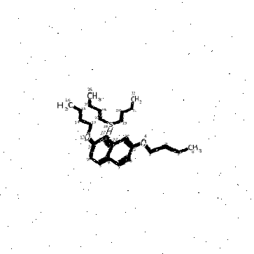 CCCCOc1ccc2ccc(OCCCC)c([SH](CCCC)CCCC)c2c1